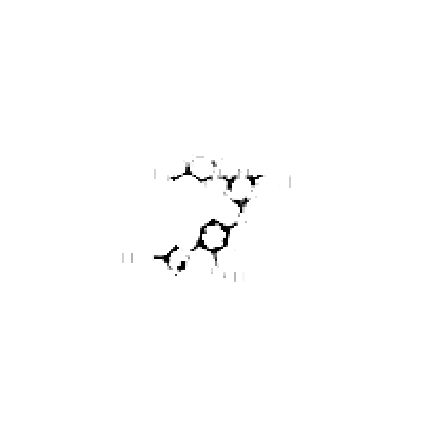 COc1nc(Nc2ccc(-n3cnc(C)c3)c(OC)c2)nc(N(C)CC(O)CO)n1